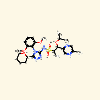 COc1cccc(OC)c1-n1c(NS(=O)(=O)C(C)C(OC(C)C)c2cnc(C)cn2)nnc1[C@H]1CCCCO1